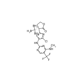 BC(B)(B)[C@]1(c2nc(Cl)c(Nc3ncc(C(F)(F)F)c(NC)n3)s2)CCOC1=O